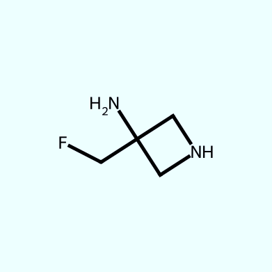 NC1(CF)CNC1